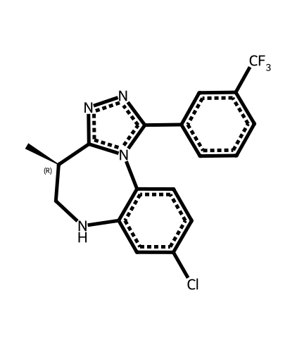 C[C@@H]1CNc2cc(Cl)ccc2-n2c(-c3cccc(C(F)(F)F)c3)nnc21